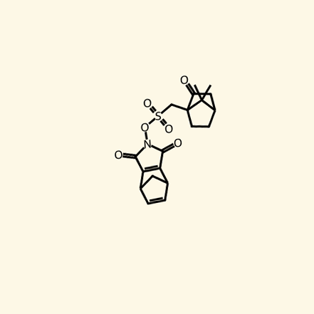 CC1(C)C2CCC1(CS(=O)(=O)ON1C(=O)C3=C(C1=O)C1C=CC3C1)C(=O)C2